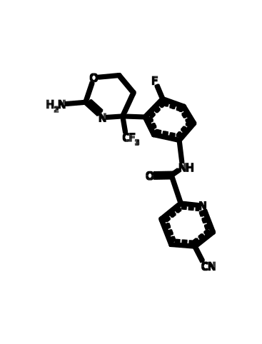 N#Cc1ccc(C(=O)Nc2ccc(F)c(C3(C(F)(F)F)CCOC(N)=N3)c2)nc1